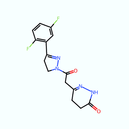 O=C1CCC(CC(=O)N2CCC(c3cc(F)ccc3F)=N2)=NN1